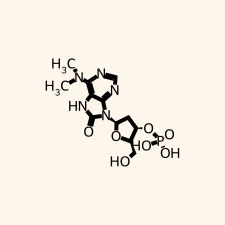 CN(C)c1ncnc2c1[nH]c(=O)n2[C@H]1C[C@H](OP(=O)(O)O)[C@@H](CO)O1